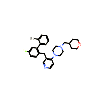 CCc1ccccc1-c1cc(F)ccc1Cc1cnccc1N1CCN(CC2CCOCC2)CC1